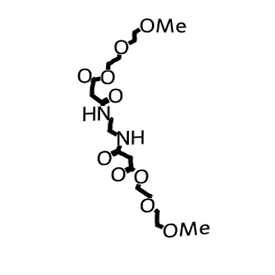 COCCOCCOC(=O)CC(=O)NCCNC(=O)CC(=O)OCCOCCOC